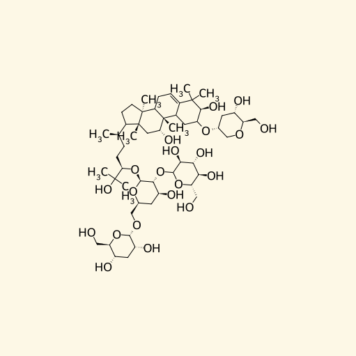 C[C@H](CC[C@@H](O[C@@H]1O[C@H](CO[C@H]2O[C@H](CO)[C@@H](O)C[C@H]2O)C[C@H](O)[C@H]1OC1O[C@@H](CO)[C@H](O)[C@@H](O)[C@@H]1O)C(C)(C)O)C1CC[C@@]2(C)C3CC=C4C(CC(O[C@H]5CO[C@H](CO)[C@@H](O)C5)[C@H](O)C4(C)C)[C@]3(C)[C@H](O)C[C@]12C